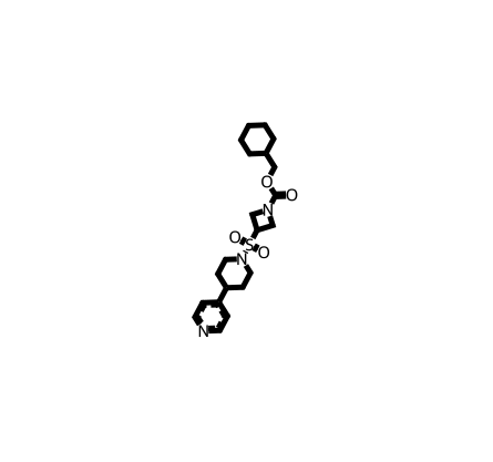 O=C(OCC1CCCCC1)N1CC(S(=O)(=O)N2CCC(c3ccncc3)CC2)C1